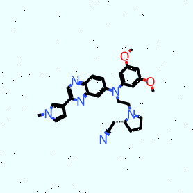 COc1cc(OC)cc(N(CCN2CCC[C@@H]2CC#N)c2ccc3ncc(-c4ccn(C)c4)nc3c2)c1